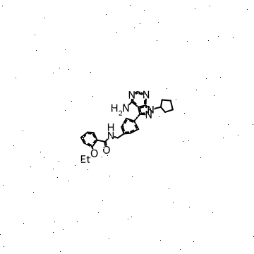 CCOc1ccccc1C(=O)NCc1ccc(-c2nn(C3CCCC3)c3ncnc(N)c23)cc1